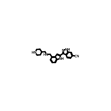 N#Cc1ccc2c(-c3cc4c(CNCC5CCNCC5)cccc4[nH]3)n[nH]c2c1